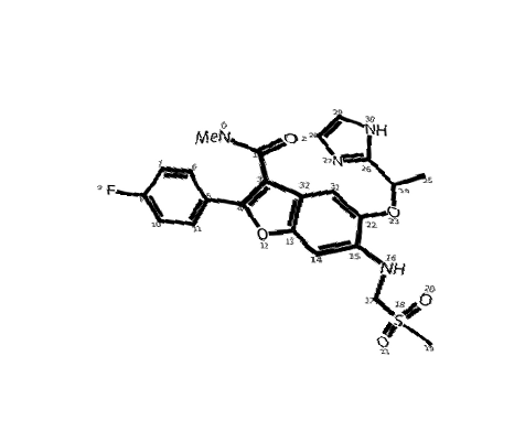 CNC(=O)c1c(-c2ccc(F)cc2)oc2cc(NCS(C)(=O)=O)c(OC(C)c3ncc[nH]3)cc12